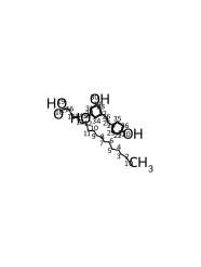 CCCCCCCCCCCCCCCCCC(=O)O.Oc1ccc(C=Cc2cc(O)cc(O)c2)cc1